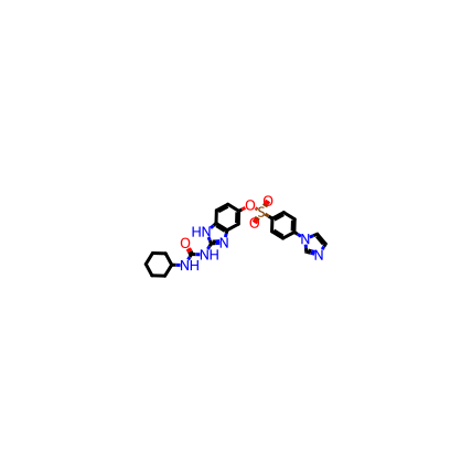 O=C(Nc1nc2cc(OS(=O)(=O)c3ccc(-n4ccnc4)cc3)ccc2[nH]1)NC1CCCCC1